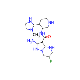 CN1CCNC1C1CCNCC1NC(=O)C1C(N)NN2CC(F)CNC12